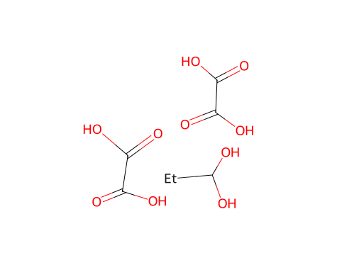 CCC(O)O.O=C(O)C(=O)O.O=C(O)C(=O)O